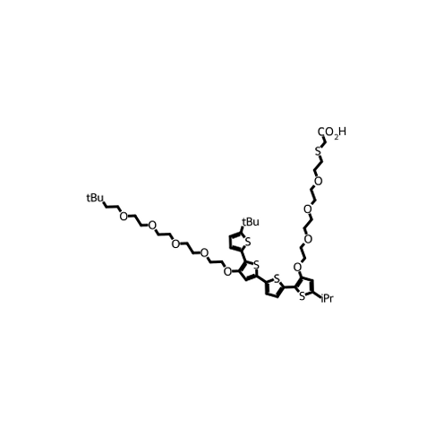 CC(C)c1cc(OCCOCCOCCOCCSCC(=O)O)c(-c2ccc(-c3cc(OCCOCCOCCOCCOCCC(C)(C)C)c(-c4ccc(C(C)(C)C)s4)s3)s2)s1